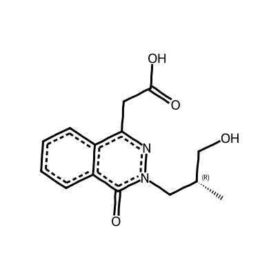 C[C@@H](CO)Cn1nc(CC(=O)O)c2ccccc2c1=O